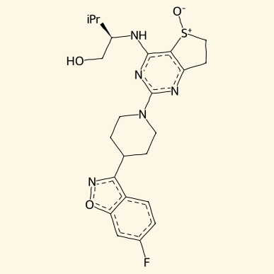 CC(C)[C@H](CO)Nc1nc(N2CCC(c3noc4cc(F)ccc34)CC2)nc2c1[S+]([O-])CC2